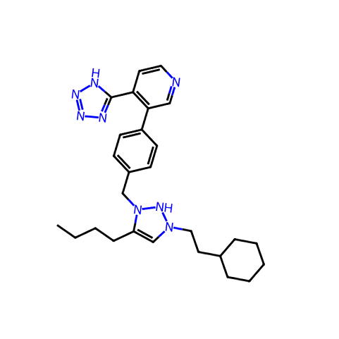 CCCCC1=CN(CCC2CCCCC2)NN1Cc1ccc(-c2cnccc2-c2nnn[nH]2)cc1